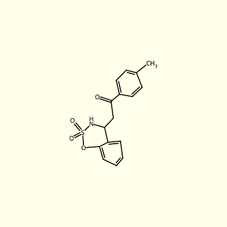 Cc1ccc(C(=O)CC2NS(=O)(=O)Oc3ccccc32)cc1